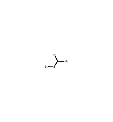 CCCC([NH])OCC